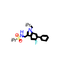 CC(C)Cn1cc(CNS(=O)(=O)C(C)C)c2cc(F)c(-c3ccccc3)cc21